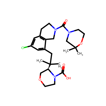 CC1(C)CN(C(=O)N2CCc3cc(Cl)cc(CC(C)(C)[C@@H]4COCCN4C(=O)O)c3C2)CCO1